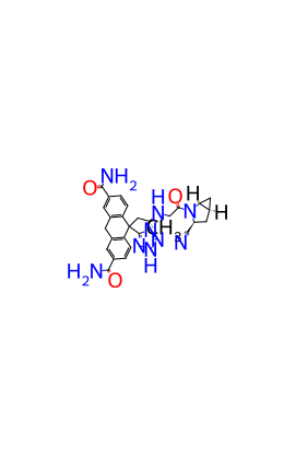 C[C@H](CC1(c2nn[nH]n2)c2ccc(C(N)=O)cc2Cc2cc(C(N)=O)ccc21)NCC(=O)N1[C@H](C#N)C[C@@H]2C[C@@H]21